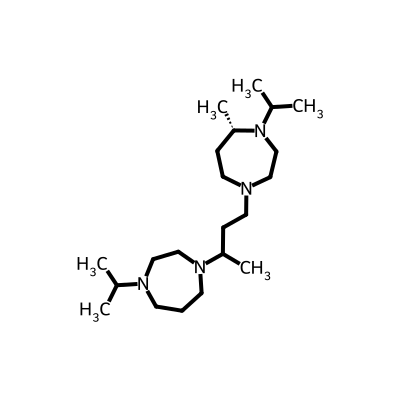 CC(C)N1CCCN(C(C)CCN2CC[C@H](C)N(C(C)C)CC2)CC1